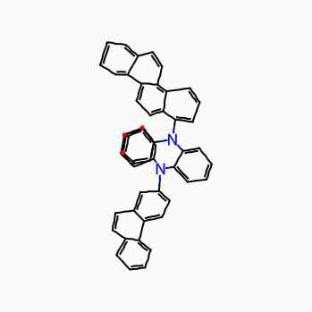 c1ccc(N(c2ccc3c(ccc4ccccc43)c2)c2ccccc2N(c2ccccc2)c2cccc3c2ccc2c4ccccc4ccc32)cc1